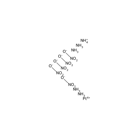 N.N.N.N.O=[N+]([O-])[O-].O=[N+]([O-])[O-].O=[N+]([O-])[O-].O=[N+]([O-])[O-].O=[N+]([O-])[O-].[NH4+].[Pt+4]